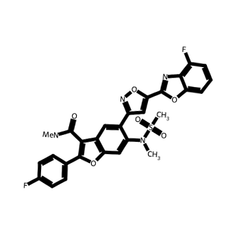 CNC(=O)c1c(-c2ccc(F)cc2)oc2cc(N(C)S(C)(=O)=O)c(-c3cc(-c4nc5c(F)cccc5o4)on3)cc12